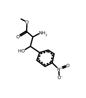 COC(=O)C(N)C(O)c1ccc([N+](=O)[O-])cc1